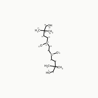 CC(C)(CO)CC[S+]([O-])CC[S+]([O-])CCC(C)(C)CO